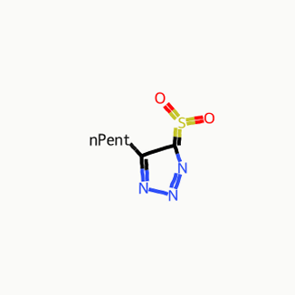 CCCCCC1=NN=NC1=S(=O)=O